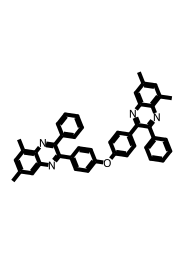 Cc1cc(C)c2nc(-c3ccccc3)c(-c3ccc(Oc4ccc(-c5nc6cc(C)cc(C)c6nc5-c5ccccc5)cc4)cc3)nc2c1